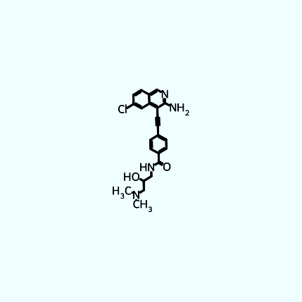 CN(C)CC(O)CNC(=O)c1ccc(C#Cc2c(N)ncc3ccc(Cl)cc23)cc1